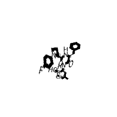 CC(C)C[C@H](NC(=O)[C@H](Cc1ccccc1)NC(=O)[C@@H]1CCN1c1ccc(F)cc1)B(O)O